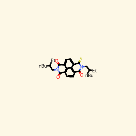 CCCCC(CC)CN1C(=O)c2ccc3c4c(ccc(c24)C1=O)C(=S)N(CC(CC)CCCC)C3=O